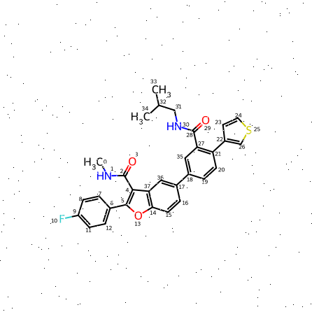 CNC(=O)c1c(-c2ccc(F)cc2)oc2ccc(-c3ccc(-c4ccsc4)c(C(=O)NCC(C)C)c3)cc12